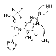 CC#CCn1c(N2CCNCC2)nc2nc(N(C)CCc3ccccc3)n(C)c(=O)c21.O=C(O)C(F)(F)F